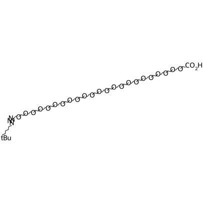 CC(C)(C)CCCCCCn1cc(COCCOCCOCCOCCOCCOCCOCCOCCOCCOCCOCCOCCOCCOCCOCCOCCOCCOCCOCCOCCOCCOCCOCCC(=O)O)nn1